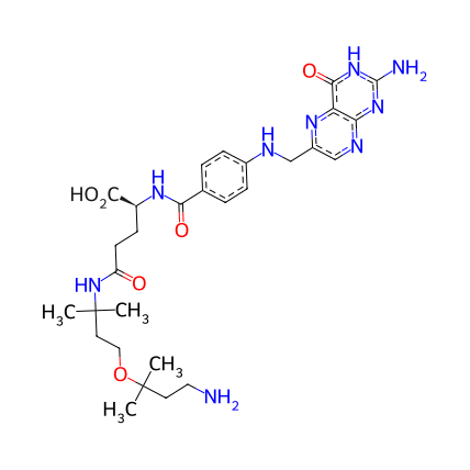 CC(C)(CCOC(C)(C)CCN)NC(=O)CC[C@H](NC(=O)c1ccc(NCc2cnc3nc(N)[nH]c(=O)c3n2)cc1)C(=O)O